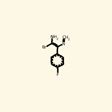 C=N/C(=C(\N)Br)c1ccc(F)cc1